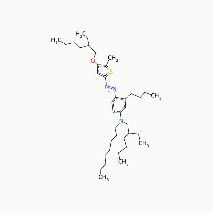 CCCCCCCCN(CC(CC)CCCC)c1ccc(/N=N/c2cc(OCC(CC)CCCC)c(C)s2)c(CCCC)c1